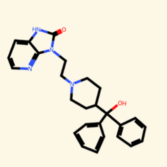 O=c1[nH]c2cccnc2n1CCN1CCC(C(O)(c2ccccc2)c2ccccc2)CC1